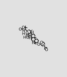 C[C@@H]1C[C@H]([C@@H]2NC(=O)OC2(C)C)O[C@H]2[C@H]1[C@@]1(C)CC[C@@]34C[C@@]35CCC(OC3CN(C6COC6)CCO3)C(C)(C)[C@@H]5CC[C@H]4[C@]1(C)[C@H]2O